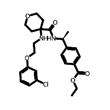 CCOC(=O)c1ccc([C@H](C)NC(=O)C2(NCCOc3cccc(Cl)c3)CCOCC2)cc1